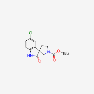 CC(C)(C)OC(=O)N1CCC2(C1)C(=O)Nc1ccc(Cl)cc12